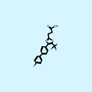 O=C(O)CCc1nc(-c2ccc(-c3ccc(F)cc3)cc2)c(C(F)(F)F)s1